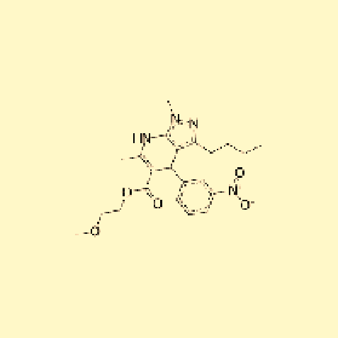 CCCCc1nn(C)c2c1C(c1cccc([N+](=O)[O-])c1)C(C(=O)OCCOC)=C(C)N2